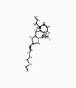 CCCCCC/C=C/C1CC[C@H](Cc2c(N)cccc2CCC)C1